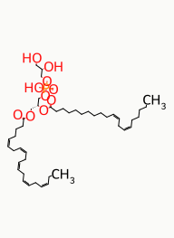 CC/C=C\C/C=C\C/C=C\C/C=C\C/C=C\CCCC(=O)OC[C@H](COP(=O)(O)OC[C@@H](O)CO)OC(=O)CCCCCCCCC/C=C\C/C=C\CCCCC